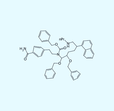 CCCNCC(CCC(OCc1ccccc1)C(OCc1ccccc1)N(CCc1ccc(C(N)=O)cc1)C(=O)OCc1ccccc1)c1cccc2ccccc12